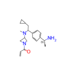 C=CC(=O)N1CC(N(C)C(CC2CC2)c2ccc([C@H](C)N)cc2)C1